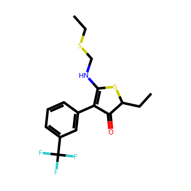 CCSCNC1=C(c2cccc(C(F)(F)F)c2)C(=O)C(CC)S1